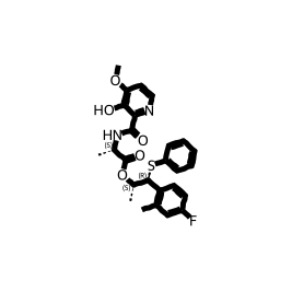 COc1ccnc(C(=O)N[C@@H](C)C(=O)O[C@@H](C)[C@H](Sc2ccccc2)c2ccc(F)cc2C)c1O